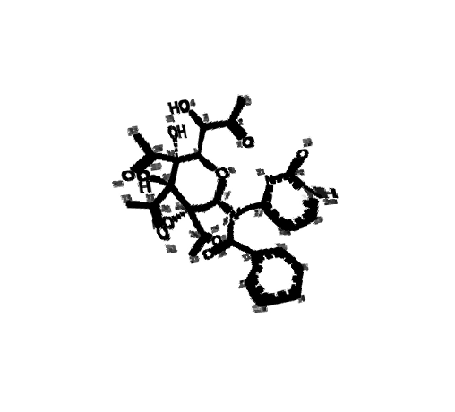 CC(=O)C(O)[C@H]1O[C@@H](N(C(=O)c2ccccc2)c2cc[nH]c(=O)n2)[C@@](O)(C(C)=O)[C@](O)(C(C)=O)[C@@]1(O)C(C)=O